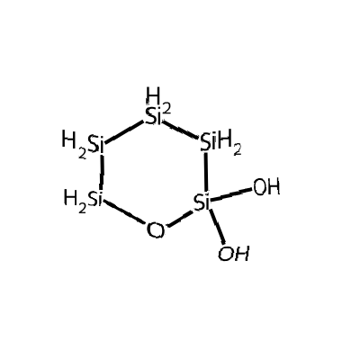 O[Si]1(O)O[SiH2][SiH2][SiH2][SiH2]1